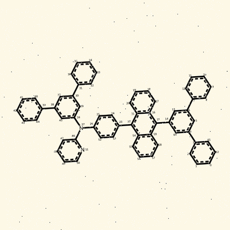 c1ccc(-c2cc(-c3ccccc3)cc(-c3c4ccccc4c(-c4ccc(N(c5cc(-c6ccccc6)cc(-c6ccccc6)c5)c5ccccn5)cc4)c4ccccc34)c2)cc1